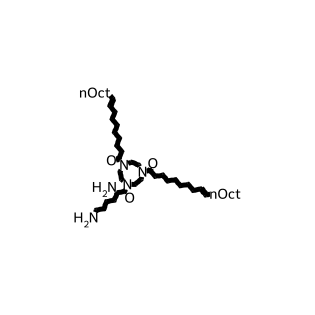 CCCCCCCCC=CCCCCCCCC(=O)N1CCN(C(=O)CCCCCCCC=CCCCCCCCC)CCN(C(=O)C(N)CCCCN)CC1